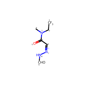 CN(CC(F)(F)F)C(=O)/C=N\NC=O